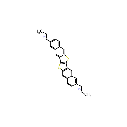 C/C=C/c1ccc2cc3sc4c5cc6cc(/C=C/C)ccc6cc5sc4c3cc2c1